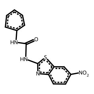 O=C(Nc1ccccc1)Nc1nc2ccc([N+](=O)[O-])cc2s1